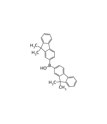 CC1(C)c2ccccc2-c2ccc(B(O)c3ccc4c(c3)C(C)(C)c3ccccc3-4)cc21